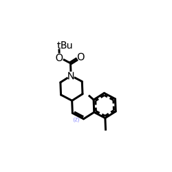 Cc1cccc(C)c1/C=C\C1CCN(C(=O)OC(C)(C)C)CC1